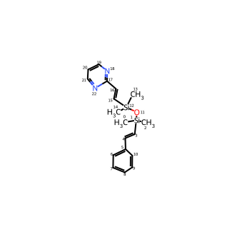 C[Si](C)(/C=C/c1ccccc1)O[Si](C)(C)/C=C/c1ncccn1